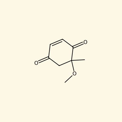 COC1(C)CC(=O)C=CC1=O